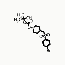 CC(C)(C)OC(=O)ON1CCC(CS(=O)(=O)c2ccc(Br)cc2)CC1